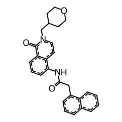 O=C(Cc1cccc2ccccc12)Nc1cccc2c(=O)n(CC3CCOCC3)ccc12